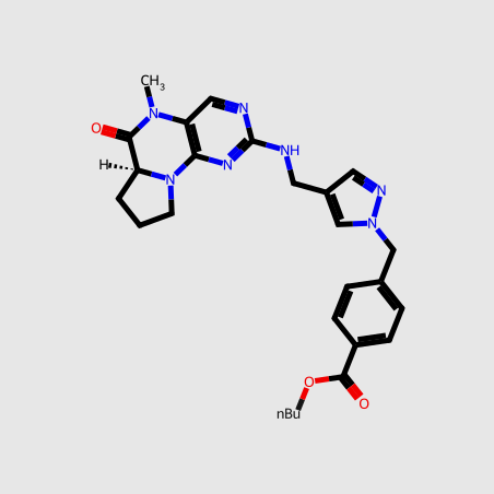 CCCCOC(=O)c1ccc(Cn2cc(CNc3ncc4c(n3)N3CCC[C@H]3C(=O)N4C)cn2)cc1